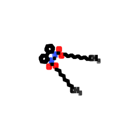 CCCCCCCCCOC(=O)N1CN(C(=O)OCCCCCCCCC)c2ccccc2-c2ccccc21